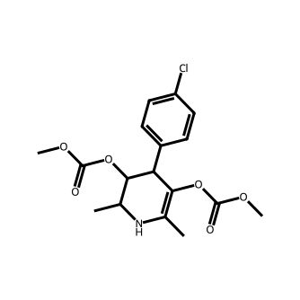 COC(=O)OC1=C(C)NC(C)C(OC(=O)OC)C1c1ccc(Cl)cc1